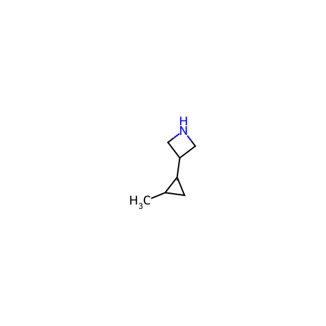 CC1C[C]1C1CNC1